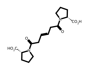 O=C(O)[C@H]1CCCN1C(=O)CC=CCC(=O)N1CCC[C@@H]1C(=O)O